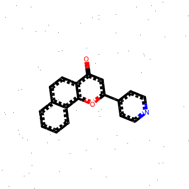 O=c1cc(-c2ccncc2)oc2c1ccc1ccccc12